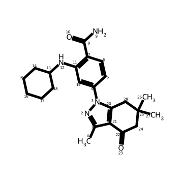 Cc1nn(-c2ccc(C(N)=O)c(NC3CCCCC3)c2)c2c1C(=O)CC(C)(C)C2